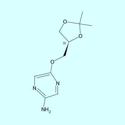 CC1(C)OC[C@H](COc2cnc(N)cn2)O1